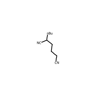 CCCCC(C#N)CCCC#N